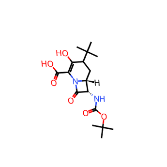 CC(C)(C)OC(=O)N[C@@H]1C(=O)N2C(C(=O)O)=C(O)C(C(C)(C)C)C[C@H]12